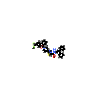 O=C(NCCC(c1ccccc1)c1ccccc1)c1csc(C2CCN(C(=O)c3ccccc3-c3ccc(C(F)F)cc3)CC2)n1